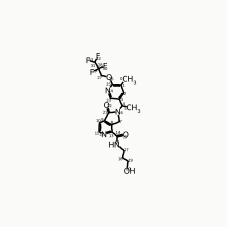 Cc1cc(C(C)N2Cc3c(ccnc3C(=O)NCCCO)C2=O)cnc1OCC(F)(F)C(F)F